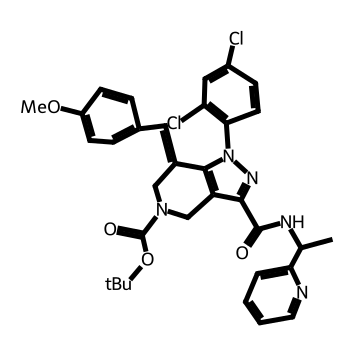 COc1ccc(C=C2CN(C(=O)OC(C)(C)C)Cc3c(C(=O)NC(C)c4ccccn4)nn(-c4ccc(Cl)cc4Cl)c32)cc1